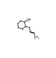 C/C=C/CC1CCCCC1O